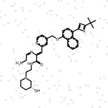 CC(C)(C)C1=NC(c2ccc(OCc3ccnc(C=C(/N=C\CN)C(=O)NCCN4CCC[C@@H](O)C4)c3)c3ccccc23)=C1